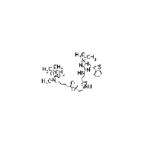 CC(C)n1cnc2c(NCCc3c[nH]c4ccc(OC(=O)CCCCCN(C)C(=O)OC(C)(C)C)cc34)nc(-c3csc4ccccc34)nc21